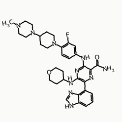 CN1CCN(C2CCN(c3ccc(Nc4nc(NC5CCOCC5)c(-c5cccc6[nH]cnc56)nc4C(N)=O)cc3F)CC2)CC1